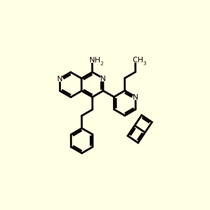 CCCc1ncccc1-c1nc(N)c2cnccc2c1CCc1ccccc1.c1cc2ccc1-2